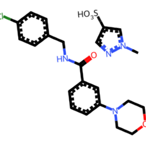 Cn1cc(S(=O)(=O)O)cn1.O=C(NCc1ccc(Cl)cc1)c1cccc(N2CCOCC2)c1